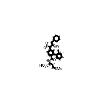 CCCC(CC1CCCCC1)C(c1ccc(C(=O)NC(CCSC)C(=O)O)c(-c2ccccc2C)c1)P(=O)=O